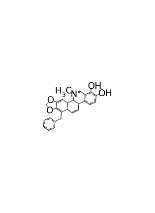 C[N+]1=Cc2c(ccc(O)c2O)C2C=CC3C(Cc4ccccc4)=C4OCOC4=CC3C21